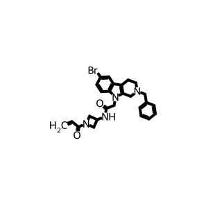 C=CC(=O)N1CC(NC(=O)Cn2c3c(c4cc(Br)ccc42)CCN(Cc2ccccc2)C3)C1